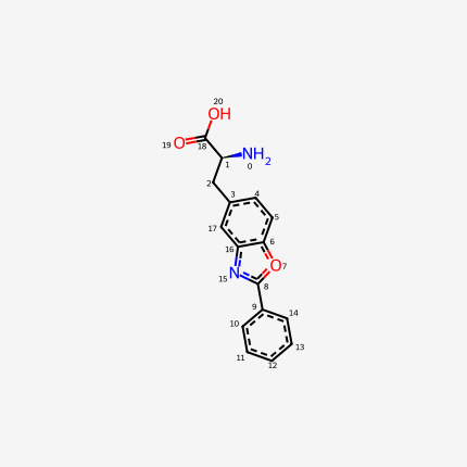 N[C@@H](Cc1ccc2oc(-c3ccccc3)nc2c1)C(=O)O